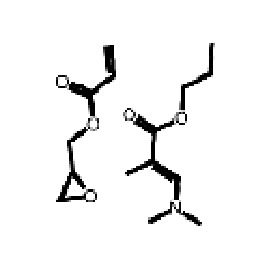 C=CC(=O)OCC1CO1.CCCOC(=O)C(C)=CN(C)C